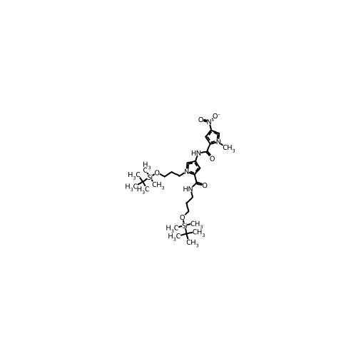 Cn1cc([N+](=O)[O-])cc1C(=O)Nc1cc(C(=O)NCCCO[Si](C)(C)C(C)(C)C)n(CCCO[Si](C)(C)C(C)(C)C)c1